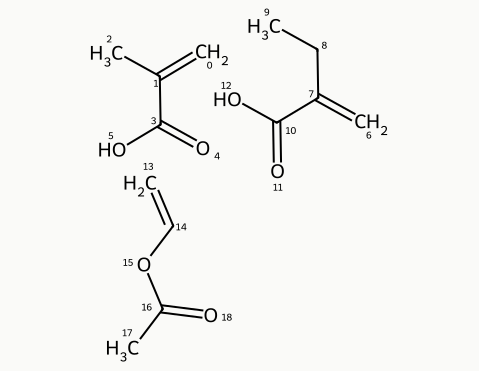 C=C(C)C(=O)O.C=C(CC)C(=O)O.C=COC(C)=O